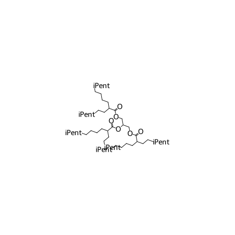 CCCC(C)CCCCC(CCC(C)CCC)C(=O)OCC(COC(=O)C(CCCCC(C)CCC)CCC(C)CCC)OC(=O)C(CCCCC(C)CCC)CCC(C)CCC